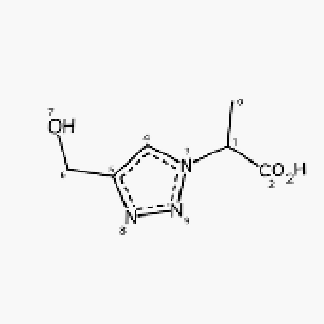 CC(C(=O)O)n1cc(CO)nn1